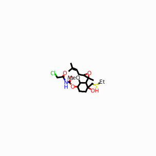 CCSCC1(O)CCC(OC(=O)NC(=O)CCl)C(OC)C1C1(C)OC1CC=C(C)C